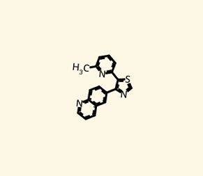 Cc1cccc(-c2scnc2-c2ccc3ncccc3c2)n1